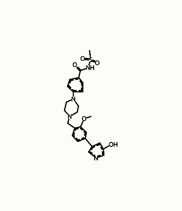 COc1cc(-c2cncc(O)c2)ccc1CN1CCN(c2ccc(C(=O)NS(C)(=O)=O)cc2)CC1